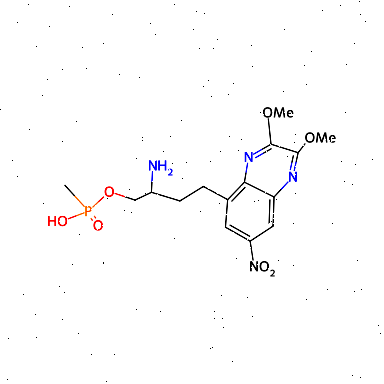 COc1nc2cc([N+](=O)[O-])cc(CCC(N)COP(C)(=O)O)c2nc1OC